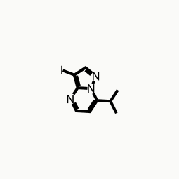 CC(C)c1ccnc2c(I)cnn12